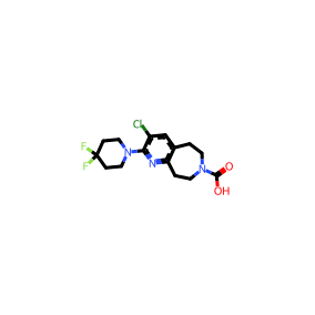 O=C(O)N1CCc2cc(Cl)c(N3CCC(F)(F)CC3)nc2CC1